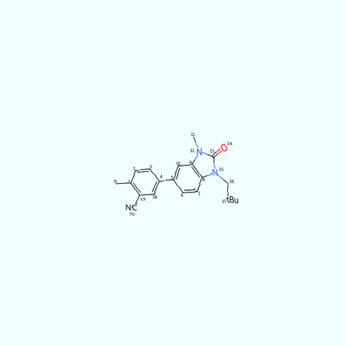 Cc1ccc(-c2ccc3c(c2)n(C)c(=O)n3CC(C)(C)C)cc1C#N